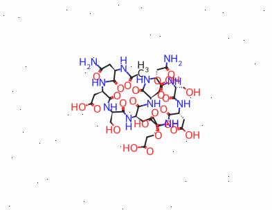 CC(=O)N[C@H](CC(N)=O)C(=O)N[C@H](CC(=O)O)C(=O)N[C@H](CO)C(=O)N[C@H](CCC(=O)O)C(=O)N[C@H](CC(=O)O)C(=O)N[C@H](CC(N)=O)C(=O)N[C@H](CO)C(=O)N[C@H](CC(=O)O)C(=O)N[C@H](CCC(=O)O)C(=O)O